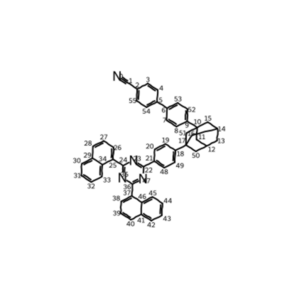 N#Cc1ccc(-c2ccc(C34CC5CC(C3)CC(c3ccc(-c6nc(-c7cccc8ccccc78)nc(-c7cccc8ccccc78)n6)cc3)(C5)C4)cc2)cc1